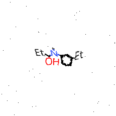 CCc1cccc(N(C)C(O)CC)c1